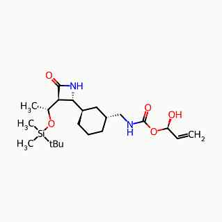 C=C[C@H](O)OC(=O)NC[C@@H]1CCC[C@@H]([C@H]2NC(=O)[C@@H]2[C@@H](C)O[Si](C)(C)C(C)(C)C)C1